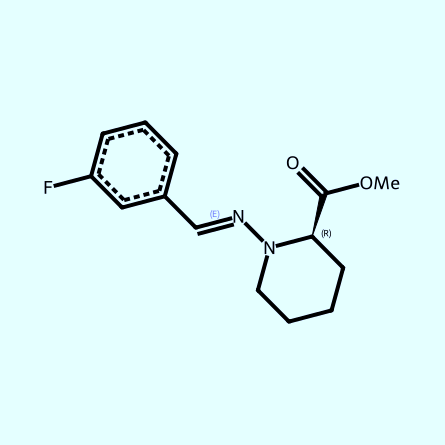 COC(=O)[C@H]1CCCCN1/N=C/c1cccc(F)c1